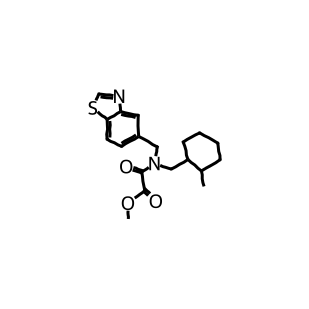 COC(=O)C(=O)N(Cc1ccc2scnc2c1)CC1CCCCC1C